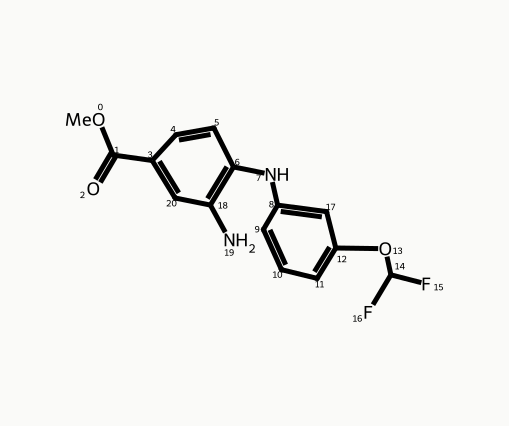 COC(=O)c1ccc(Nc2cccc(OC(F)F)c2)c(N)c1